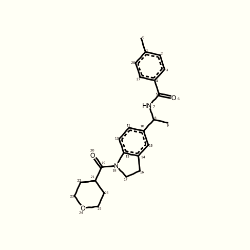 Cc1ccc(C(=O)NC(C)c2ccc3c(c2)CCN3C(=O)C2CCOCC2)cc1